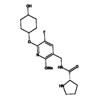 COc1nc(OC2CCC(O)CC2)c(F)cc1CNC(=O)[C@@H]1CCCN1